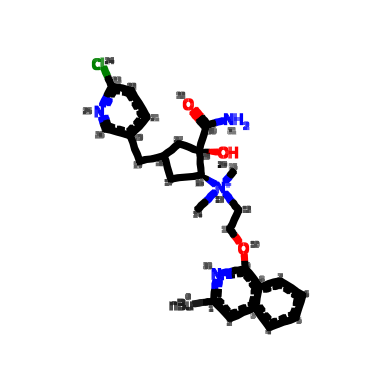 CCCCc1cc2ccccc2c(OCC[N+](C)(C)[C@H]2CC(Cc3ccc(Cl)nc3)C[C@]2(O)C(N)=O)n1